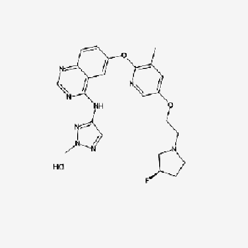 Cc1cc(OCCN2CC[C@@H](F)C2)cnc1Oc1ccc2ncnc(Nc3cnn(C)n3)c2c1.Cl